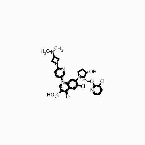 CN(C)C1CN(c2ccc(-n3cc(C(=O)O)c(=O)c4cc(Cl)c(N5CC[C@H](O)[C@@H]5COc5ncccc5Cl)cc43)cn2)C1